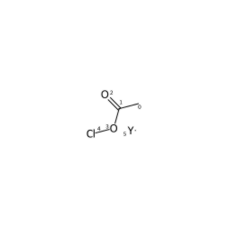 CC(=O)OCl.[Y]